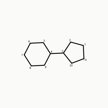 [CH]1CCC(C2CCCCC2)C1